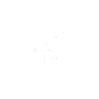 [CH]C(=O)C(C=C)S(=O)(=O)CC=C